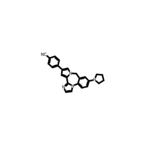 N#Cc1ccc(-c2cc3n(c2)Cc2cc(N4CCCC4)ccc2-n2ccnc2-3)cc1